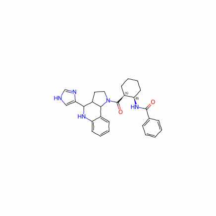 O=C(N[C@@H]1CCCC[C@@H]1C(=O)N1CCC2C(c3c[nH]cn3)Nc3ccccc3C21)c1ccccc1